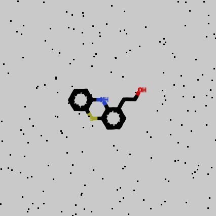 OCCc1cccc2c1Nc1ccccc1S2